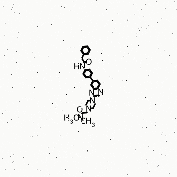 CN(C)C(=O)CN1CCN(c2cnc3ccc(-c4ccc(NC(=O)Cc5ccccc5)cc4)cc3n2)CC1